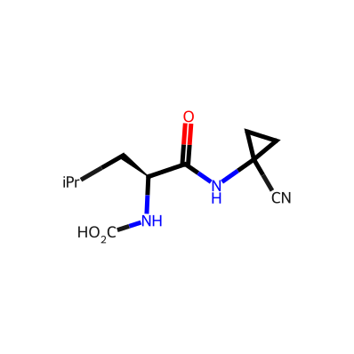 CC(C)C[C@H](NC(=O)O)C(=O)NC1(C#N)CC1